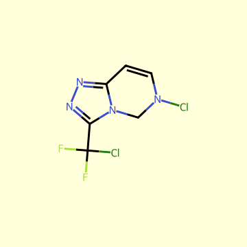 FC(F)(Cl)c1nnc2n1CN(Cl)C=C2